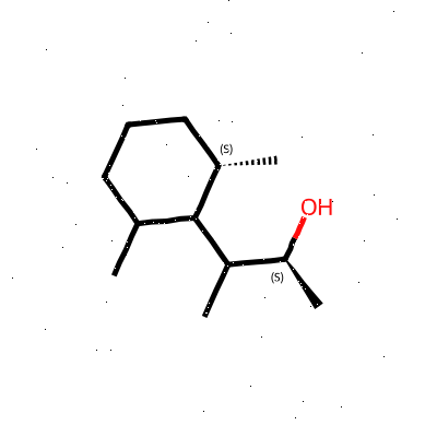 CC1CCC[C@H](C)C1C(C)[C@H](C)O